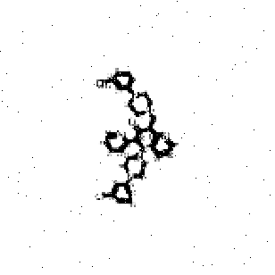 O=C(C(CN1CCN(c2cccc(Cl)c2)CC1)c1ccccn1)C(CN1CCN(c2cccc(Cl)c2)CC1)c1ccccn1